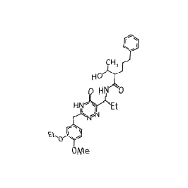 CCOc1cc(Cc2nnc(C(CC)NC(=O)C(CCCc3ccccc3)C(C)O)c(=O)[nH]2)ccc1OC